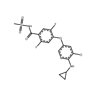 CS(=O)(=O)NC(=O)c1cc(F)c(Oc2cnc(NC3CC3)c(Cl)c2)cc1F